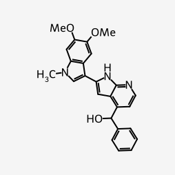 COc1cc2c(-c3cc4c(C(O)c5ccccc5)ccnc4[nH]3)cn(C)c2cc1OC